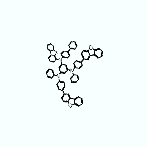 c1ccc(-c2ccc(N(c3cc(N(c4ccccc4)c4ccc(-c5ccc6oc7ccccc7c6c5)cc4)cc(N(c4ccccc4)c4ccc(-c5ccc6oc7ccccc7c6c5)cc4)c3)c3cccc4c3sc3ccccc34)cc2)cc1